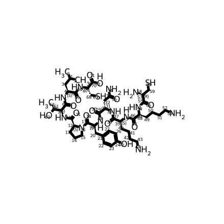 CC(C)C[C@H](NC(=O)[C@@H](NC(=O)[C@@H]1CCCN1C(=O)[C@H](Cc1ccc(O)cc1)NC(=O)[C@H](CC(N)=O)NC(=O)[C@H](CCCCN)NC(=O)[C@H](CCCCN)NC(=O)[C@@H](N)CS)[C@@H](C)O)C(=O)N[C@@H](CS)C(=O)O